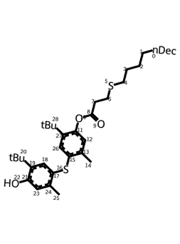 CCCCCCCCCCCCCCSCCC(=O)Oc1cc(C)c(Sc2cc(C(C)(C)C)c(O)cc2C)cc1C(C)(C)C